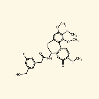 COc1cc2c(c(OC)c1OC)-c1ccc(SC)c(=O)cc1[C@@H](NC(=O)Cc1cc(F)cc(CO)c1)CC2